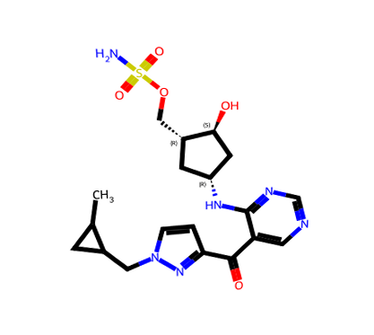 CC1CC1Cn1ccc(C(=O)c2cncnc2N[C@@H]2C[C@H](COS(N)(=O)=O)[C@@H](O)C2)n1